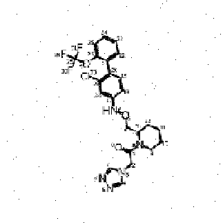 O=C(Cn1cnnc1)N1CCCC[C@@H]1CONc1ccc(-c2ccccc2OC(F)(F)F)c(Cl)c1